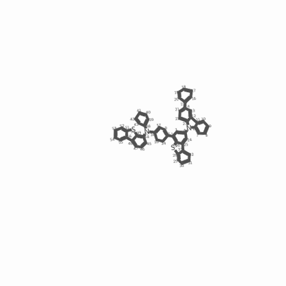 C1=C(c2cc(-n3c4ccccc4c4cc(-c5ccccc5)ccc43)cc3c2sc2ccccc23)CCC(N(c2ccccc2)c2cccc3c2sc2ccccc23)=C1